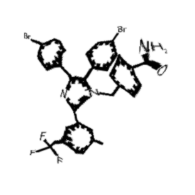 Cc1cc(-c2nc(-c3ccc(Br)cc3)c(-c3ccc(Br)cc3)n2Cc2ccc(C(N)=O)cc2)cc(C(F)(F)F)c1